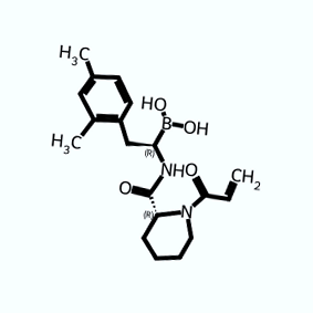 C=CC(=O)N1CCCC[C@@H]1C(=O)N[C@@H](Cc1ccc(C)cc1C)B(O)O